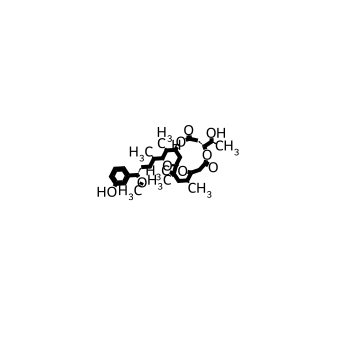 CO[C@@H](CC[C@H](C)[C@H]1O[C@@]23C[C@H](OC(=O)C[C@H]([C@@H](C)O)OC(=O)CC(O2)[C@H](C)CC3(C)C)[C@@H]1C)c1cccc(O)c1